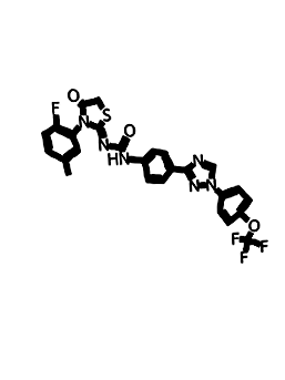 Cc1ccc(F)c(N2C(=O)CS/C2=N\C(=O)Nc2ccc(-c3ncn(-c4ccc(OC(F)(F)F)cc4)n3)cc2)c1